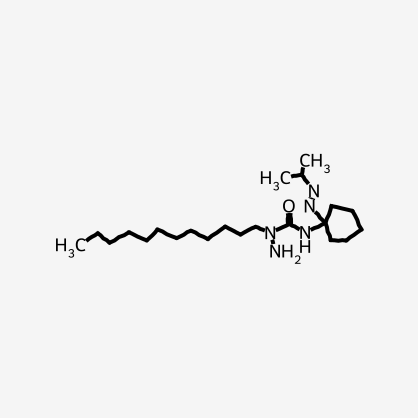 CCCCCCCCCCCCN(N)C(=O)NC1(/N=N/C(C)C)CCCCC1